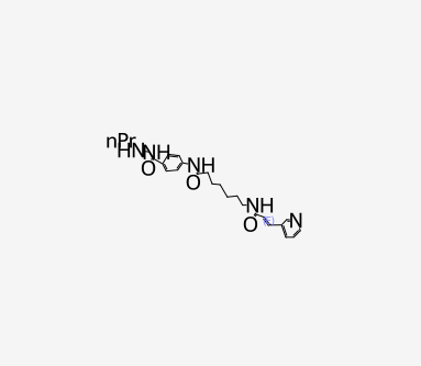 CCCNNC(=O)c1ccc(NC(=O)CCCCCCNC(=O)/C=C/c2cccnc2)cc1